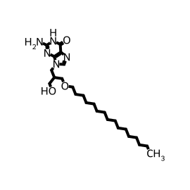 CCCCCCCCCCCCCCCCOCC(CO)Cn1cnc2c(=O)[nH]c(N)nc21